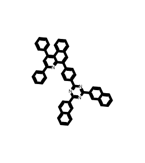 c1ccc(-c2cc(-c3ccccc3)c3c(n2)c(-c2ccc(-c4nc(-c5ccc6ccccc6c5)nc(-c5ccc6ccccc6c5)n4)cc2)cc2ccccc23)cc1